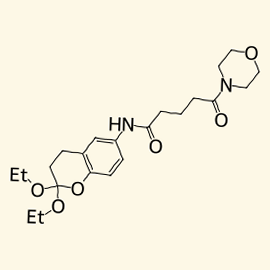 CCOC1(OCC)CCc2cc(NC(=O)CCCC(=O)N3CCOCC3)ccc2O1